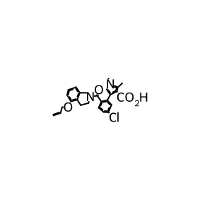 C=CCOc1cccc2c1CCN(C(=O)c1ccc(Cl)cc1-c1cn(C)c(C)c1C(=O)O)C2